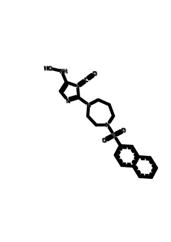 O=C=S1C(NO)=CN=C1N1CCCN(S(=O)(=O)c2ccc3ccccc3c2)CC1